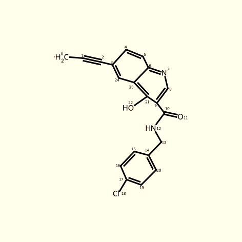 [CH2]C#Cc1ccc2ncc(C(=O)NCc3ccc(Cl)cc3)c(O)c2c1